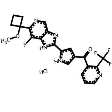 COC1(c2ncc3nc(-c4cc(C(=O)c5cccnc5C(F)(F)F)c[nH]4)[nH]c3c2F)CCC1.Cl